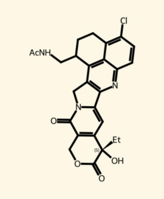 CC[C@@]1(O)C(=O)OCc2c1cc1n(c2=O)Cc2c-1nc1ccc(Cl)c3c1c2C(CNC(C)=O)CC3